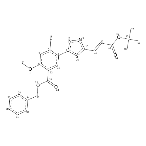 COc1cc(F)c(-c2nnc(/C=C/C(=O)OC(C)(C)C)s2)cc1C(=O)OCc1ccccc1